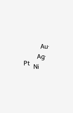 [Ag].[Au].[Ni].[Pt]